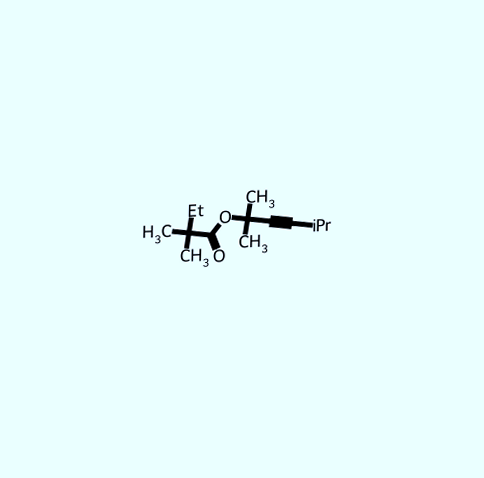 CCC(C)(C)C(=O)OC(C)(C)C#CC(C)C